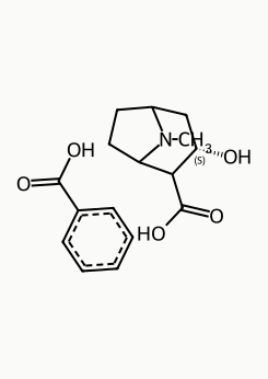 CN1C2CCC1C(C(=O)O)[C@@H](O)C2.O=C(O)c1ccccc1